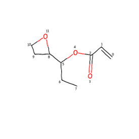 C=CC(=O)OC(CC)C1CCO1